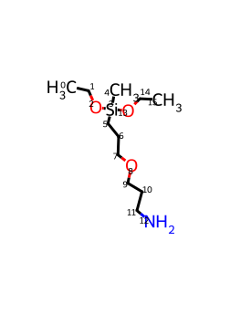 CCO[Si](C)(CCCOCCCN)OCC